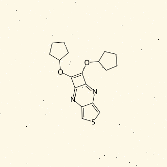 c1scc2nc3c(nc12)C(OC1CCCC1)=C3OC1CCCC1